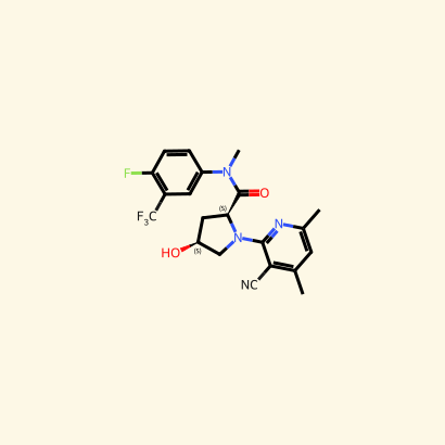 Cc1cc(C)c(C#N)c(N2C[C@@H](O)C[C@H]2C(=O)N(C)c2ccc(F)c(C(F)(F)F)c2)n1